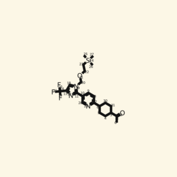 CC(=O)C1CCC(c2ccc(-c3nc(C(F)(F)F)cn3COCC[Si](C)(C)C)cn2)CC1